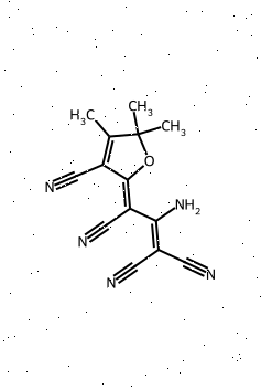 CC1=C(C#N)/C(=C(\C#N)C(N)=C(C#N)C#N)OC1(C)C